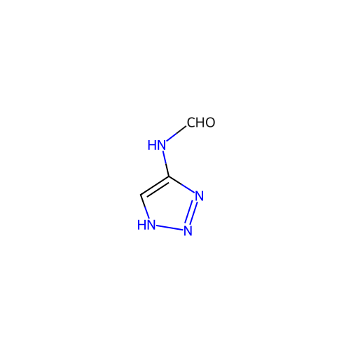 O=CNc1c[nH]nn1